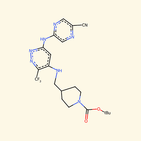 CC(C)(C)OC(=O)N1CCC(CNc2cc(Nc3cnc(C#N)cn3)nnc2C(F)(F)F)CC1